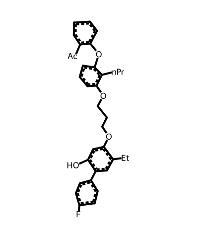 CCCc1c(OCCCOc2cc(O)c(-c3ccc(F)cc3)cc2CC)cccc1Oc1ccccc1C(C)=O